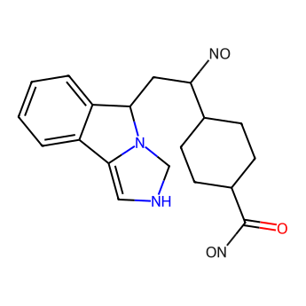 O=NC(=O)C1CCC(C(CC2c3ccccc3C3=CNCN32)N=O)CC1